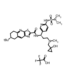 CN(CC[C@@H](NC(=O)c1nc2cc3c(nc2s1)CC[C@H](C(C)(C)C)C3)c1ccc(NS(=O)(=O)N(C)C)nc1)CC1(O)CC1.O=C(O)C(F)(F)F